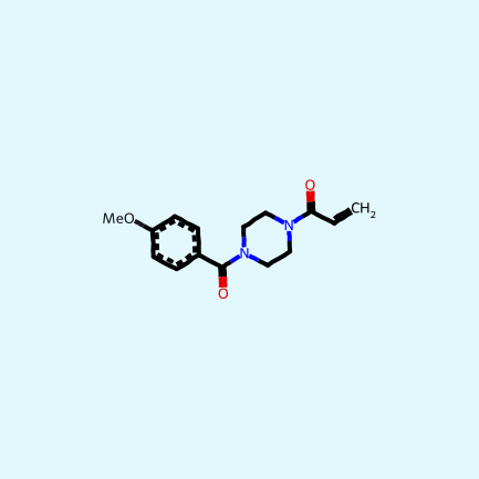 C=CC(=O)N1CCN(C(=O)c2ccc(OC)cc2)CC1